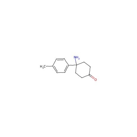 Cc1ccc(C2(N)CCC(=O)CC2)cc1